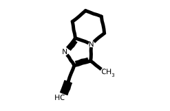 C#Cc1nc2n(c1C)CCCC2